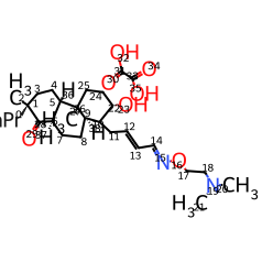 CCC[C@@]1(C)CC[C@H]2[C@@H](CC[C@@H]3C(C/C=C/C=N/OCCN(C)C)[C@@H](O)CC[C@@]32C)C1=O.O=C(O)C(=O)O